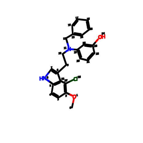 COc1ccc2[nH]cc(CCN(Cc3ccccc3)c3cccc(O)c3)c2c1Cl